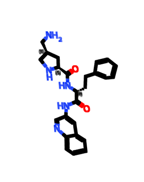 NC[C@@H]1CN[C@H](C(=O)N[C@H](CCc2ccccc2)C(=O)Nc2cnc3ccccc3c2)C1